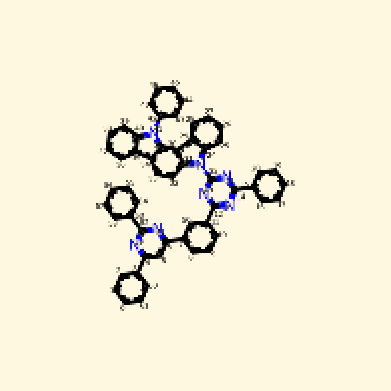 c1ccc(-c2cc(-c3cccc(-c4nc(-c5ccccc5)nc(-n5c6ccccc6c6c5ccc5c7ccccc7n(-c7ccccc7)c56)n4)c3)nc(-c3ccccc3)n2)cc1